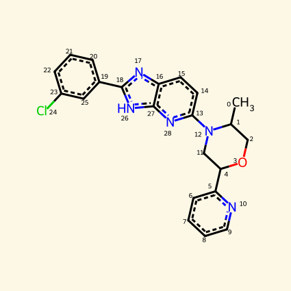 CC1COC(c2ccccn2)CN1c1ccc2nc(-c3cccc(Cl)c3)[nH]c2n1